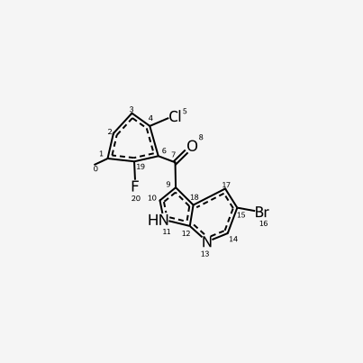 Cc1ccc(Cl)c(C(=O)c2c[nH]c3ncc(Br)cc23)c1F